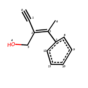 C#CC(CO)=C(C)c1ccccc1